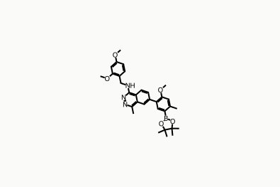 COc1ccc(CNc2nnc(C)c3cc(-c4cc(B5OC(C)(C)C(C)(C)O5)c(C)cc4OC)ccc23)c(OC)c1